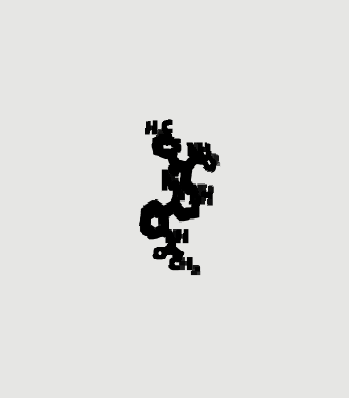 C=CC(=O)Nc1ccccc1C1CCNc2c(C(N)=O)c(-c3ccc(C)s3)nn21